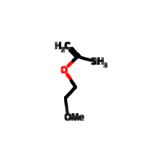 C=C([SiH3])OCCOC